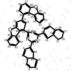 C1=CC2C=CC(c3nc(-c4ccc5c(c4)CCC=C5)nc(-c4cc(-c5cccc6oc7ccccc7c56)cc5oc6ccccc6c45)n3)=CC2C=C1